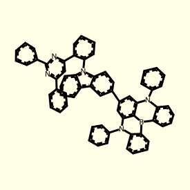 c1ccc(-c2cc(-c3ccccc3-n3c4ccccc4c4cc(-c5cc6c7c(c5)N(c5ccccc5)c5ccccc5B7c5ccccc5N6c5ccccc5)ccc43)nc(-c3ccccc3)n2)cc1